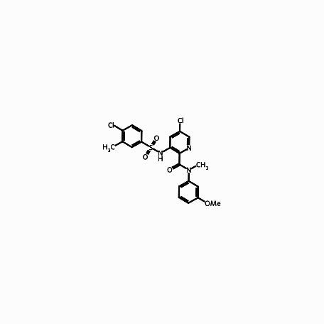 COc1cccc(N(C)C(=O)c2ncc(Cl)cc2NS(=O)(=O)c2ccc(Cl)c(C)c2)c1